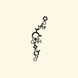 C=N\C(COC1CCCC1)=N/C=C(C)/C1=C/C(=C)S/C(NC(=O)C2CC(N3CCN(C=O)CC3C)C2)=N\C/C=C\1